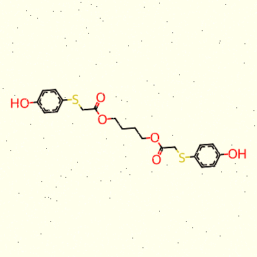 O=C(CSc1ccc(O)cc1)OCCCCOC(=O)CSc1ccc(O)cc1